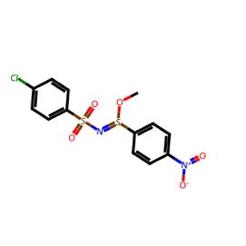 CO/S(=N\S(=O)(=O)c1ccc(Cl)cc1)c1ccc([N+](=O)[O-])cc1